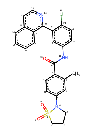 Cc1cc(N2CCCS2(=O)=O)ccc1C(=O)Nc1ccc(Cl)c(-c2nccc3ccccc23)c1